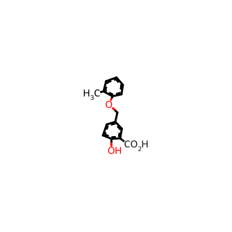 Cc1ccccc1OCc1ccc(O)c(C(=O)O)c1